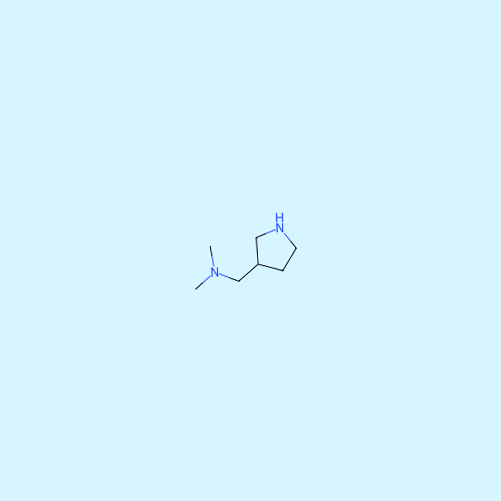 CN(C)CC1CCNC1